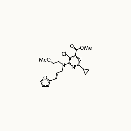 COCCN(CC=Cc1ccco1)c1nc(C2CC2)nc(C(=O)OC)c1Cl